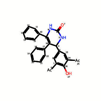 CC(=O)c1cc(C2NC(=O)NC(c3ccccc3)=C2c2ccccc2)cc(C(C)=O)c1O